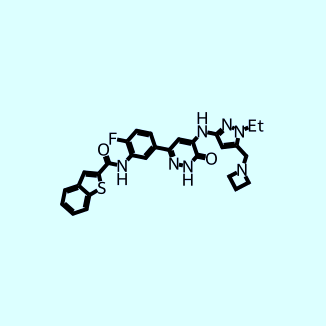 CCn1nc(Nc2cc(-c3ccc(F)c(NC(=O)c4cc5ccccc5s4)c3)n[nH]c2=O)cc1CN1CCC1